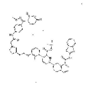 Cc1c(OCC[C@H]2CCN(CC(=O)Nc3ccc4c(C5CCC(=O)NC5=O)nn(C)c4c3)C2)cccc1-c1ccc(N2CCc3cccc(C(=O)Nc4nc5ccccc5s4)c3C2)nc1C(=O)OC(C)(C)C